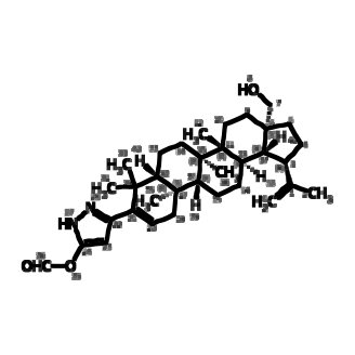 C=C(C)[C@@H]1CC[C@]2(CO)CC[C@]3(C)[C@H](CC[C@@H]4[C@@]5(C)CC=C(c6cc(OC=O)[nH]n6)C(C)(C)[C@@H]5CC[C@]43C)[C@@H]12